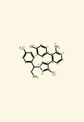 NCC(c1ccc(C(F)(F)F)cc1)n1cc(-c2ccnc(N)c2-c2ccc(Cl)cc2)c(C(F)(F)F)n1